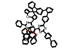 c1ccc(-c2ccc(-c3nc(-c4ccc(-c5ccccc5-c5ccc6c(c5)-c5ccccc5C65c6ccccc6Oc6c(-c7nc(-c8ccccc8)nc(-c8cccc9ccccc89)n7)cccc65)cc4)nc(-c4cccc5c4Oc4ccccc4C54c5ccccc5-c5ccccc54)n3)cc2)cc1